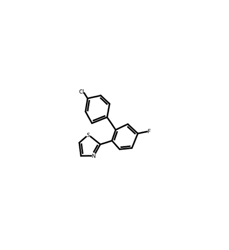 Fc1ccc(-c2nccs2)c(-c2ccc(Cl)cc2)c1